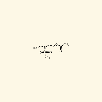 CCN(CCOC(C)=O)S(C)(=O)=O